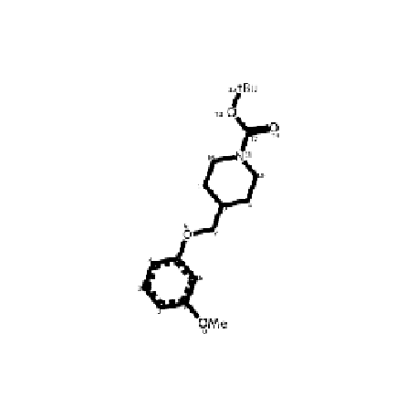 COc1cccc(OCC2CCN(C(=O)OC(C)(C)C)CC2)c1